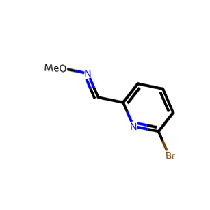 CON=Cc1cccc(Br)n1